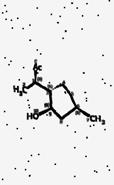 CC(=O)[C@H](C)[C@@H]1CC[C@@H](C)C[C@H]1O